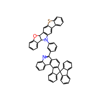 c1cc(-c2nc3ccccc3c3c4c(ccc23)C2(c3ccccc3-c3ccccc32)c2ccccc2-4)cc(N2c3cc4c(cc3C3Oc5ccccc5C32)sc2ccccc24)c1